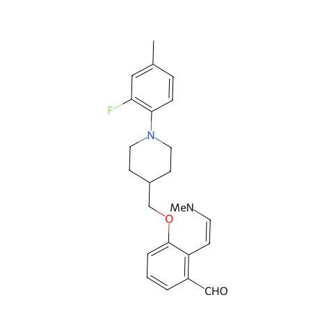 CN/C=C\c1c(C=O)cccc1OCC1CCN(c2ccc(C)cc2F)CC1